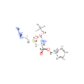 CC(C)(C)OC(=O)N[C@@H](CSCCN=[N+]=[N-])C(=O)OCc1ccccc1